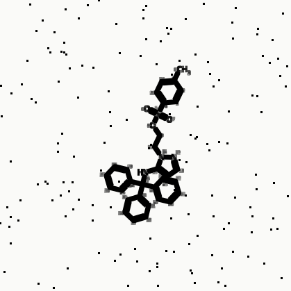 Cc1ccc(S(=O)(=O)OCCn2nccc2NC(c2ccccc2)(c2ccccc2)c2ccccc2)cc1